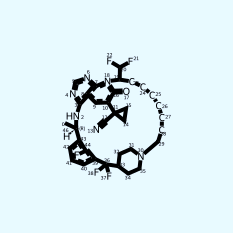 C[C@H]1Nc2ncnc3c2cc(C2(C#N)CC2)c(=O)n3C(C(F)F)CCCCCCCN2CCC(CC2)C(F)(F)c2cccc1c2F